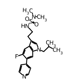 CC(C)Cn1cc(CCNS(=O)(=O)N(C)C)c2cc(F)c(-c3ccncc3)cc21